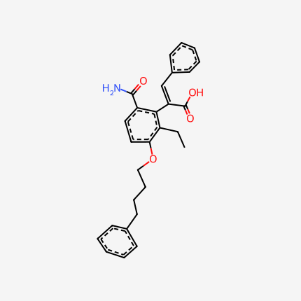 CCc1c(OCCCCc2ccccc2)ccc(C(N)=O)c1C(=Cc1ccccc1)C(=O)O